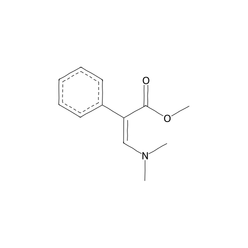 COC(=O)C(=CN(C)C)c1ccccc1